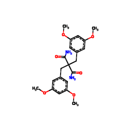 COc1cc(CC(Cc2cc(OC)cc(OC)c2)(C(N)=O)C(N)=O)cc(OC)c1